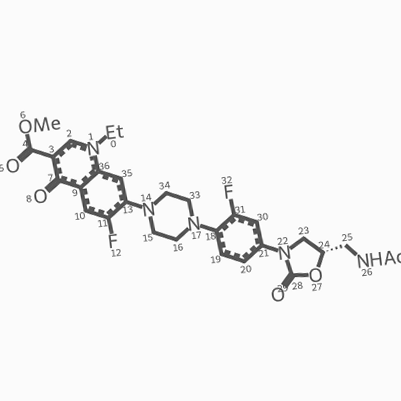 CCn1cc(C(=O)OC)c(=O)c2cc(F)c(N3CCN(c4ccc(N5C[C@H](CNC(C)=O)OC5=O)cc4F)CC3)cc21